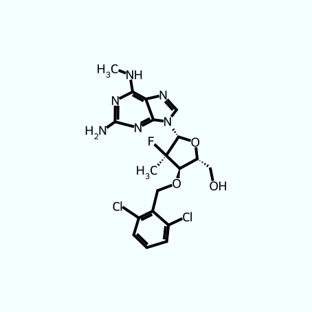 CNc1nc(N)nc2c1ncn2[C@@H]1O[C@H](CO)[C@@H](OCc2c(Cl)cccc2Cl)[C@@]1(C)F